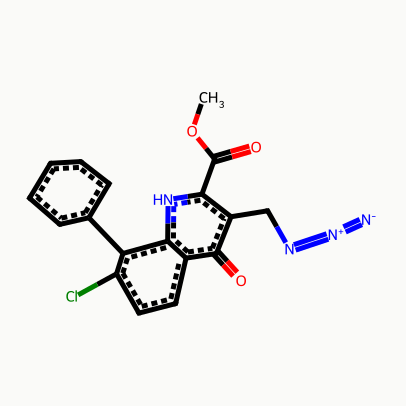 COC(=O)c1[nH]c2c(-c3ccccc3)c(Cl)ccc2c(=O)c1CN=[N+]=[N-]